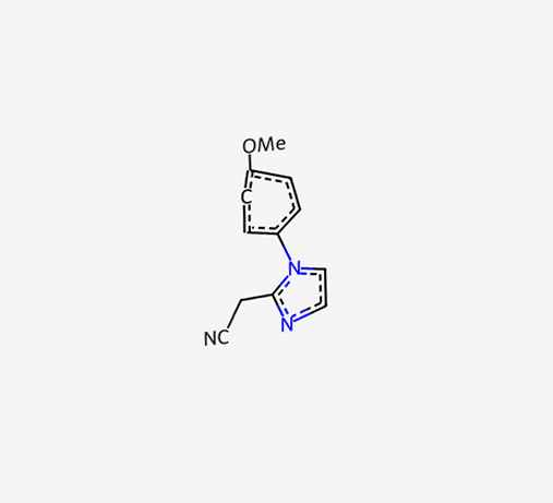 COc1ccc(-n2ccnc2CC#N)cc1